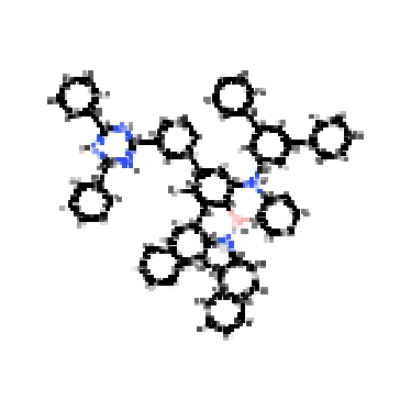 Cc1c(-c2cccc(-c3nc(-c4ccccc4)nc(-c4ccccc4)n3)c2)cc2c3c1-c1cc4ccccc4c4c5c6ccccc6ccc5n(c14)B3c1ccccc1N2c1cc(-c2ccccc2)cc(-c2ccccc2)c1